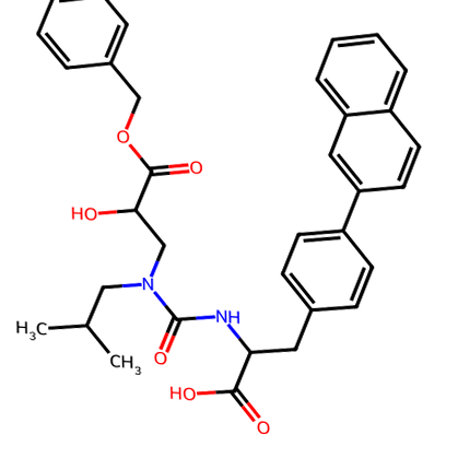 CC(C)CN(CC(O)C(=O)OCc1ccccc1)C(=O)NC(Cc1ccc(-c2ccc3ccccc3c2)cc1)C(=O)O